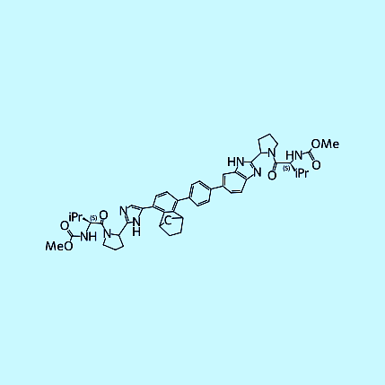 COC(=O)N[C@H](C(=O)N1CCCC1c1ncc(-c2ccc(-c3ccc(-c4ccc5nc(C6CCCN6C(=O)[C@@H](NC(=O)OC)C(C)C)[nH]c5c4)cc3)c3c2C2CCC3CC2)[nH]1)C(C)C